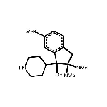 CNc1ccc2c(c1)C(O)(C1CCNCC1)C(NC)(NC)C2